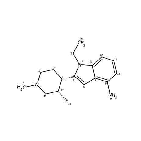 CN1CC[C@H](c2cc3c(N)cccc3n2CC(F)(F)F)[C@H](F)C1